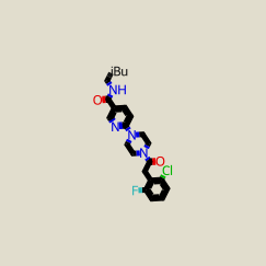 CCC(C)CNC(=O)c1ccc(N2CCN(C(=O)Cc3c(F)cccc3Cl)CC2)nc1